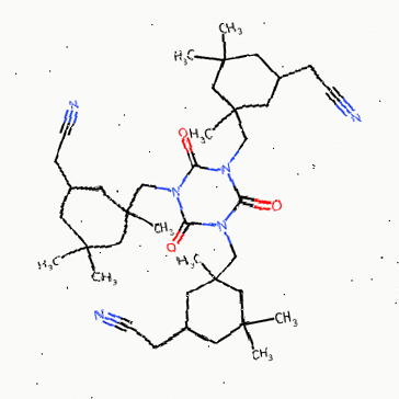 CC1(C)CC(CC#N)CC(C)(Cn2c(=O)n(CC3(C)CC(CC#N)CC(C)(C)C3)c(=O)n(CC3(C)CC(CC#N)CC(C)(C)C3)c2=O)C1